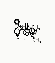 CCCNC(=O)[C@@H](NC(=O)c1nc(-c2ccccc2)n2c1CN(C)CCC2)C(C)(C)C